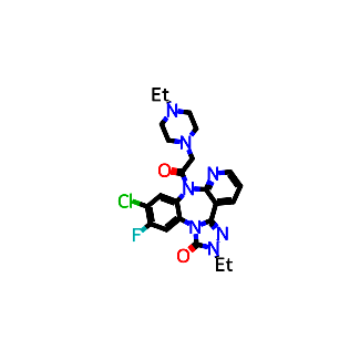 CCN1CCN(CC(=O)N2c3cc(Cl)c(F)cc3-n3c(nn(CC)c3=O)-c3cccnc32)CC1